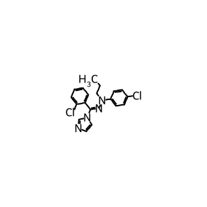 CCCN(/N=C(\c1ccccc1Cl)n1ccnc1)c1ccc(Cl)cc1